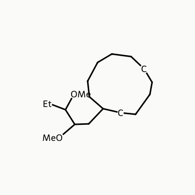 CCC(OC)C(CC1CCCCCCCCCC1)OC